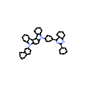 c1ccc(-c2nc(-c3ccc(-n4c5ccccc5c5c6c7ccccc7n(-c7ccc8ccccc8c7)c6ccc54)cc3)c3ccccc3n2)cc1